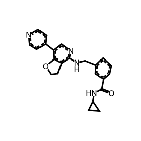 O=C(NC1CC1)c1cccc(CNc2ncc(-c3ccncc3)c3c2CCO3)c1